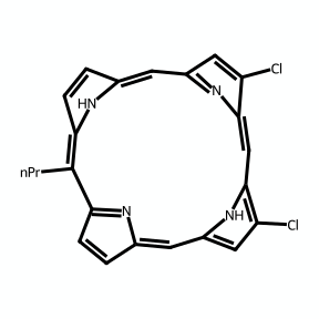 CCCc1c2nc(cc3cc(Cl)c(cc4nc(cc5ccc1[nH]5)C=C4Cl)[nH]3)C=C2